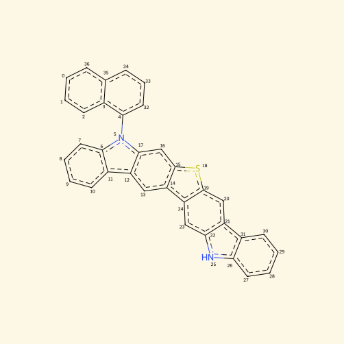 c1ccc2c(-n3c4ccccc4c4cc5c(cc43)sc3cc4c(cc35)[nH]c3ccccc34)cccc2c1